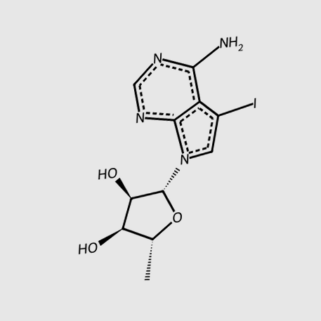 C[C@H]1O[C@@H](n2cc(I)c3c(N)ncnc32)[C@H](O)[C@@H]1O